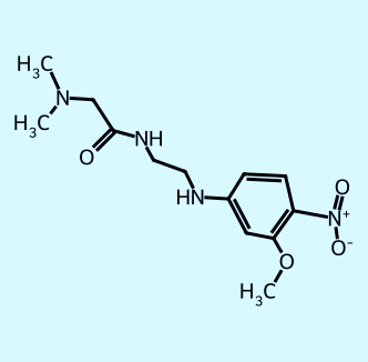 COc1cc(NCCNC(=O)CN(C)C)ccc1[N+](=O)[O-]